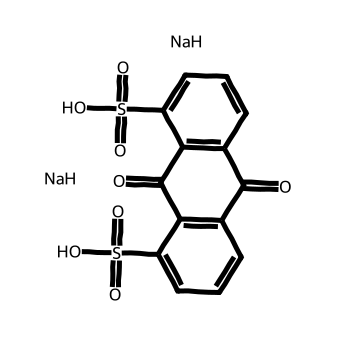 O=C1c2cccc(S(=O)(=O)O)c2C(=O)c2c1cccc2S(=O)(=O)O.[NaH].[NaH]